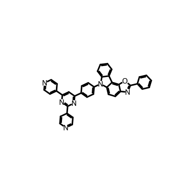 c1ccc(-c2nc3ccc4c(c5ccccc5n4-c4ccc(-c5cc(-c6ccncc6)nc(-c6ccncc6)n5)cc4)c3o2)cc1